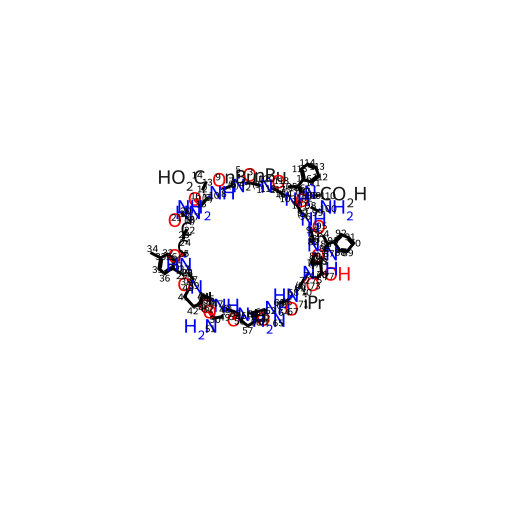 CCCC[C@H]1C(=O)N(C)[C@@H](CCCC)C(=O)N[C@@H](CCC(=O)O)C(=O)N[C@H](C(N)=O)CCCC(=O)N[C@@H](Cc2ccc(C)cc2)C(=O)N2CCCC[C@H]2C(=O)N[C@@H](CC(N)=O)C(=O)N2CCC[C@H]2C(=O)N[C@@H](CN)C(=O)N[C@@H](CC(C)C)C(=O)N2C[C@H](O)C[C@H]2C(=O)N[C@@H](Cc2c[nH]c3ccccc23)C(=O)N[C@@H](CCN)C(=O)N[C@@H](Cc2cn(CC(=O)O)c3ccccc23)C(=O)N1C